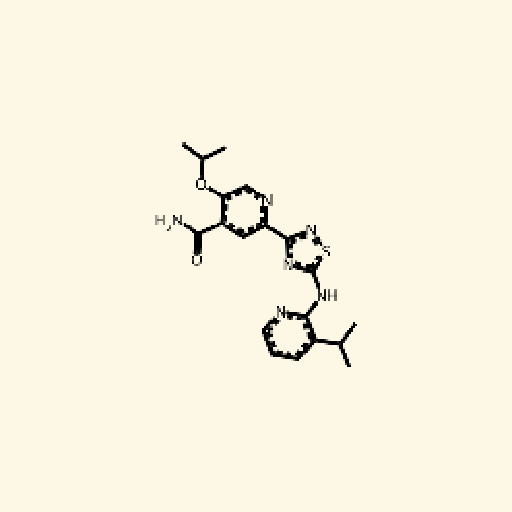 CC(C)Oc1cnc(-c2nsc(Nc3ncccc3C(C)C)n2)cc1C(N)=O